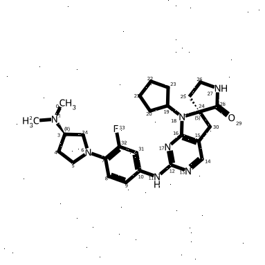 CN(C)[C@@H]1CCN(c2ccc(Nc3ncc4c(n3)N(C3CCCC3)[C@]3(CCNC3=O)C4)cc2F)C1